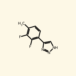 Cc1ccc(-c2c[nH]nn2)c(F)c1F